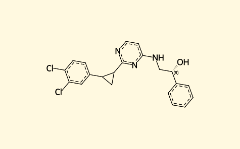 O[C@@H](CNc1ccnc(C2CC2c2ccc(Cl)c(Cl)c2)n1)c1ccccc1